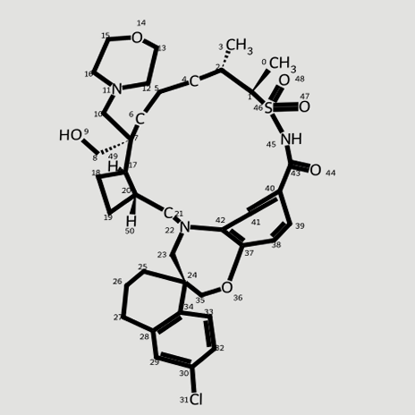 C[C@@H]1[C@@H](C)CCC[C@](CO)(CN2CCOCC2)[C@@H]2CC[C@H]2CN2C[C@@]3(CCCc4cc(Cl)ccc43)COc3ccc(cc32)C(=O)NS1(=O)=O